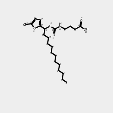 CCCCCCCCCCCCC(OC(=O)NCCCC(=O)O)c1ccc(Cl)o1